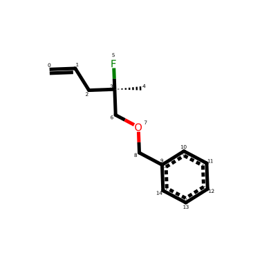 C=CC[C@@](C)(F)COCc1ccccc1